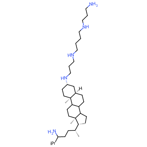 CC(C)C(N)CC[C@@H](C)[C@H]1CCC2C3CC[C@@H]4C[C@@H](NCCCNCCCCNCCCN)CC[C@]4(C)C3CC[C@@]21C